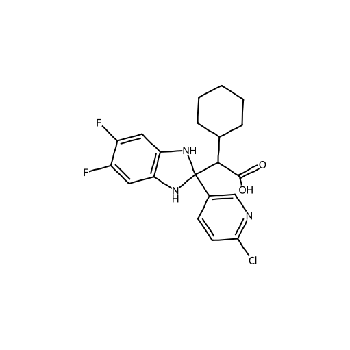 O=C(O)C(C1CCCCC1)C1(c2ccc(Cl)nc2)Nc2cc(F)c(F)cc2N1